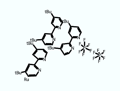 CC(C)(C)c1ccnc(-c2cc(C(C)(C)C)ccn2)c1.CC(C)(C)c1ccnc(-c2cc(C(C)(C)C)ccn2)c1.CC(C)(C)c1ccnc(-c2cc(C(C)(C)C)ccn2)c1.F[P-](F)(F)(F)(F)F.F[P-](F)(F)(F)(F)F.[Ru]